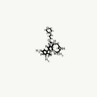 Cc1c(F)c(N)cc(-c2nc3c4c(nc(OCCCN5CCOCC5)nc4c2F)NCC2CC(C[C@H](C)O3)N2)c1C(F)(F)F